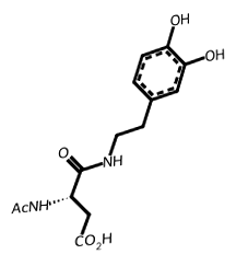 CC(=O)N[C@@H](CC(=O)O)C(=O)NCCc1ccc(O)c(O)c1